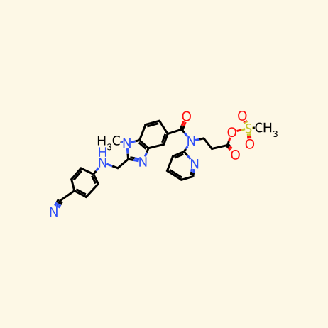 Cn1c(CNc2ccc(C#N)cc2)nc2cc(C(=O)N(CCC(=O)OS(C)(=O)=O)c3ccccn3)ccc21